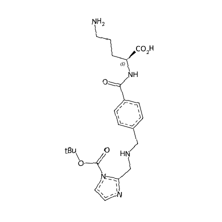 CC(C)(C)OC(=O)n1ccnc1CNCc1ccc(C(=O)N[C@@H](CCCN)C(=O)O)cc1